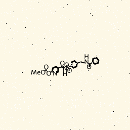 COC(=O)Oc1ccc(C(=O)NS(=O)(=O)c2ccc(CCNC(=O)c3ccccc3)cc2)cn1